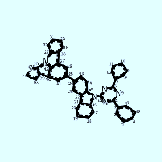 c1ccc(-c2nc(-c3ccccc3)nc(-n3c4ccccc4c4cc(-c5cc6c7ccccc7n7c8sccc8c(c5)c67)ccc43)n2)cc1